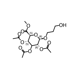 COC(=O)[C@H]1O[C@@H](OCCCO)[C@H](OC(C)=O)C(OC(C)=O)[C@@H]1OC(C)=O